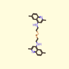 Cc1ccc2nc(C)cc(NCCSSCCNc3cc(C)nc4ccc(C)cc34)c2c1